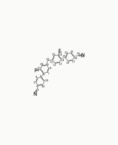 N#Cc1ccc(-c2ccc(Cc3ccc(-c4ccc(C#N)cc4)c(F)c3)cc2F)cc1